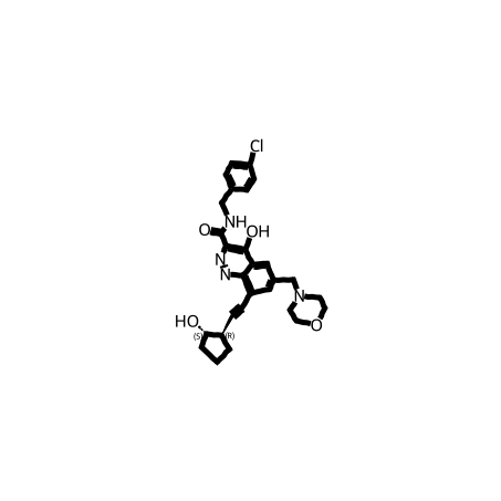 O=C(NCc1ccc(Cl)cc1)c1nnc2c(C#C[C@H]3CCC[C@@H]3O)cc(CN3CCOCC3)cc2c1O